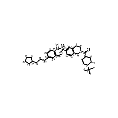 CC(C)(C)[C@H]1CC[C@H](C(=O)N2CCc3cc(S(=O)(=O)Nc4ccc(CCCC5CCCC5)cc4F)ccc3C2)CC1